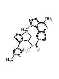 CN(C(=O)c1ccc2nc(N)c3cnn(C)c3c2c1)C1COc2csc(-c3cnn(C)c3)c21